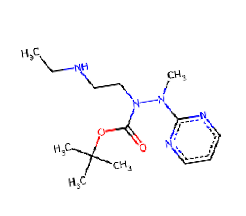 CCNCCN(C(=O)OC(C)(C)C)N(C)c1ncccn1